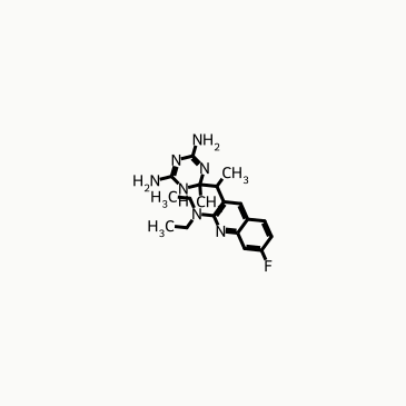 CCN(CC)c1nc2cc(F)ccc2cc1C(C)C1(C)N=C(N)N=C(N)N1